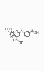 Nc1cnc2c(NC3CC3)cc(Nc3cccc(C(=O)O)c3)nn12